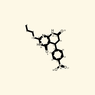 CCCSc1nc2c(c(=O)[nH]1)C(c1ccc([N+](=O)[O-])cc1)CC(=O)N2